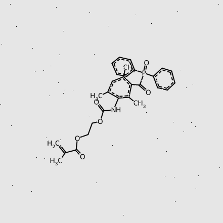 C=C(C)C(=O)OCCOC(=O)Nc1c(C)cc(C)c(C(=O)P(=O)(c2ccccc2)c2ccccc2)c1C